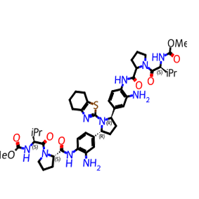 COC(=O)N[C@H](C(=O)N1CCCC1C(=O)Nc1ccc([C@H]2CC[C@H](c3ccc(NC(=O)[C@@H]4CCCN4C(=O)[C@@H](NC(=O)OC)C(C)C)c(N)c3)N2c2nc3c(s2)CCCC3)cc1N)C(C)C